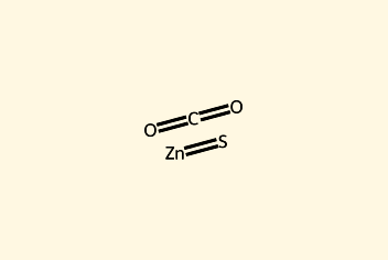 O=C=O.[S]=[Zn]